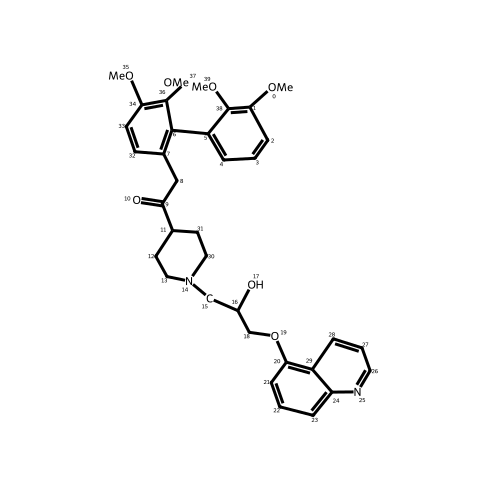 COc1cccc(-c2c(CC(=O)C3CCN(CC(O)COc4cccc5ncccc45)CC3)ccc(OC)c2OC)c1OC